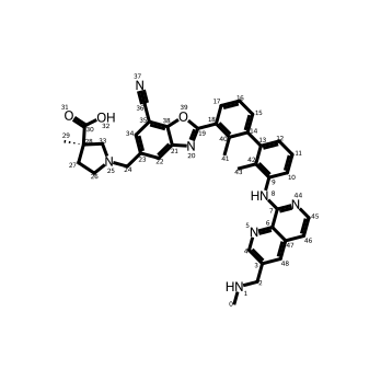 CNCc1cnc2c(Nc3cccc(-c4cccc(-c5nc6cc(CN7CC[C@@](C)(C(=O)O)C7)cc(C#N)c6o5)c4C)c3C)nccc2c1